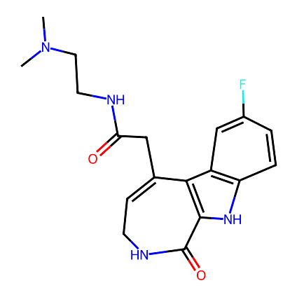 CN(C)CCNC(=O)CC1=CCNC(=O)c2[nH]c3ccc(F)cc3c21